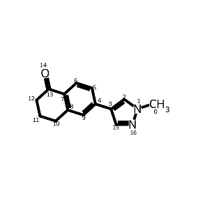 Cn1cc(-c2ccc3c(c2)CCCC3=O)cn1